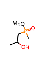 COP(C)(=O)CC(C)O